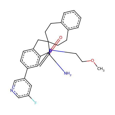 COCCN1C(=O)C2(N=C1N)c1cc(-c3cncc(F)c3)ccc1CC21CCc2ccccc2CC1